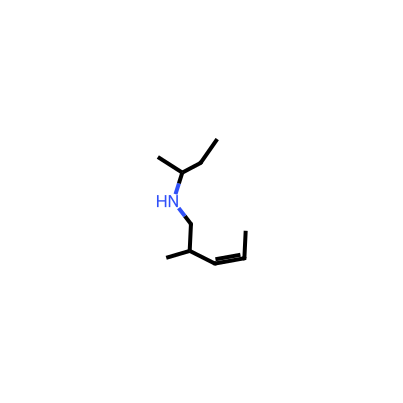 C/C=C\C(C)CNC(C)CC